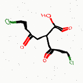 O=C(O)C(C(=O)CCl)C(=O)CCl